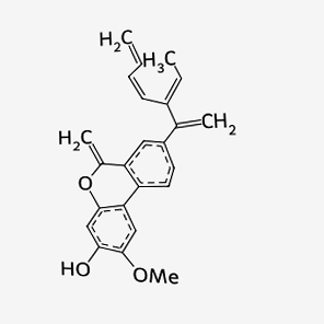 C=C/C=C\C(=C/C)C(=C)c1ccc2c(c1)C(=C)Oc1cc(O)c(OC)cc1-2